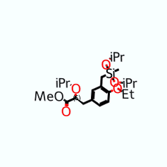 CCOc1ccc(C[C@H](OC(C)C)C(=O)OC)cc1C[Si](C)(OC(C)C)OC(C)C